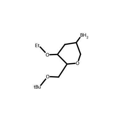 BC1COC(COC(C)(C)C)C(OCC)C1